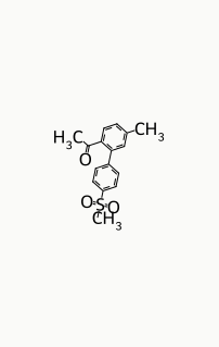 CC(=O)c1ccc(C)cc1-c1ccc(S(C)(=O)=O)cc1